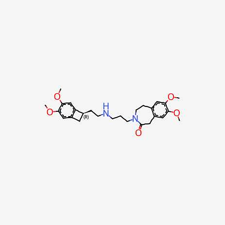 COc1cc2c(cc1OC)CC(=O)N(CCCNCC[C@H]1Cc3cc(OC)c(OC)cc31)CC2